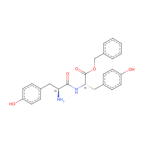 N[C@@H](Cc1ccc(O)cc1)C(=O)N[C@@H](Cc1ccc(O)cc1)C(=O)OCc1ccccc1